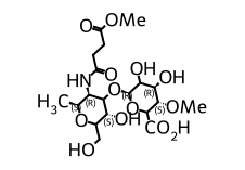 COC(=O)CCC(=O)N[C@H]1C(O[C@@H]2OC(C(=O)O)[C@@H](OC)[C@H](O)C2O)[C@H](O)C(CO)O[C@H]1C